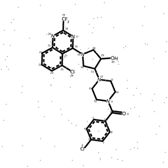 O=C(c1ccc(Cl)cc1)N1CCN(C2CN(c3nc(C(F)(F)F)nc4cccc(Cl)c34)CC2O)CC1